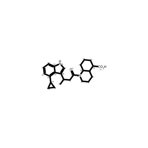 CC(CC(=O)N1CCCC2C(C(=O)O)CCCC21)c1c[nH]c2cccc(C3CC3)c12